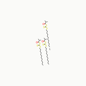 CC.CCCCCCCCCCCCSC(=S)SC(=O)C(C)C.CCCCCCCCCCCCSC(=S)SC(=O)C(C)C.CCCCCCCCCCCCSC(=S)SC(=O)C(C)C